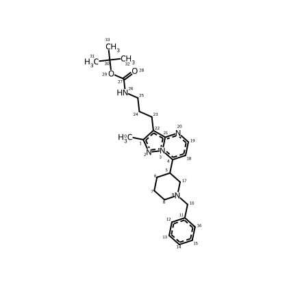 Cc1nn2c(C3CCCN(Cc4ccccc4)C3)ccnc2c1CCCNC(=O)OC(C)(C)C